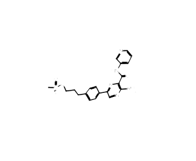 CS(=O)(=O)OCCCc1ccc(-c2cnc(N)c(C(=O)Nc3cccnc3)n2)cc1